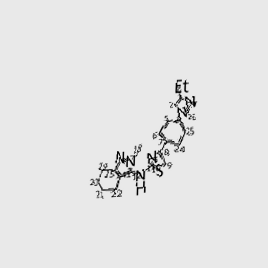 CCc1cn(-c2ccc(-c3csc(Nc4c5c(nn4C)CCCC5)n3)cc2)cn1